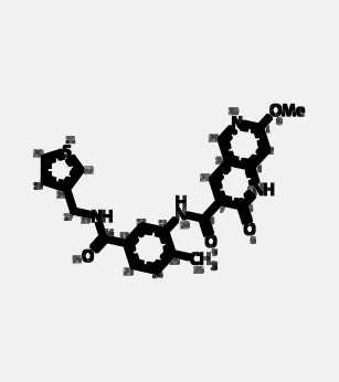 COc1cc2[nH]c(=O)c(C(=O)Nc3cc(C(=O)NCc4ccsc4)ccc3C)cc2cn1